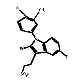 Cc1cc(-n2c(C(C)C)c(CCC(=O)O)c3cc(F)ccc32)ccc1F